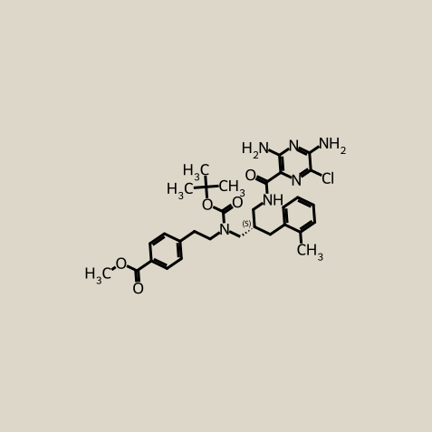 COC(=O)c1ccc(CCN(C[C@H](CNC(=O)c2nc(Cl)c(N)nc2N)Cc2ccccc2C)C(=O)OC(C)(C)C)cc1